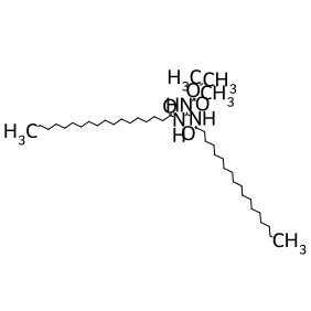 CCCCCCCCCCCCCCCCCC(=O)NC(NC(=O)CCCCCCCCCCCCCCCCC)NC(=O)OC(C)(C)C